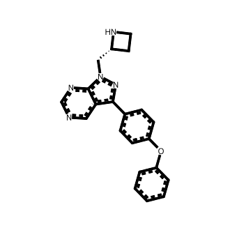 c1ccc(Oc2ccc(-c3nn(C[C@H]4CCN4)c4ncncc34)cc2)cc1